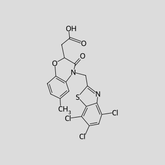 Cc1ccc2c(c1)N(Cc1nc3c(Cl)cc(Cl)c(Cl)c3s1)C(=O)C(CC(=O)O)O2